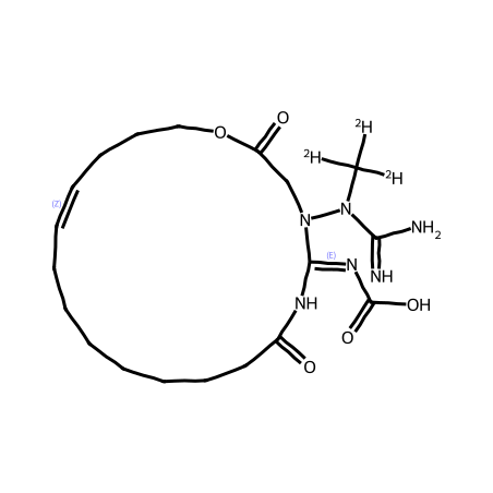 [2H]C([2H])([2H])N(C(=N)N)N1CC(=O)OCCC/C=C\CCCCCCCC(=O)N/C1=N\C(=O)O